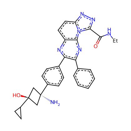 CCNC(=O)c1nnc2ccc3nc(-c4ccc([C@]5(N)C[C@@](O)(C6CC6)C5)cc4)c(-c4ccccc4)nc3n12